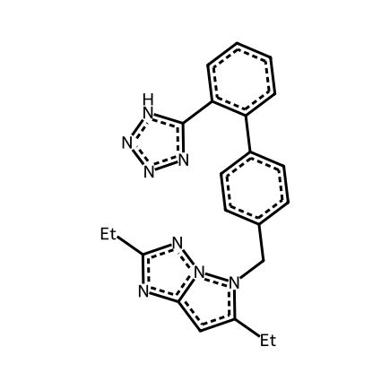 CCc1nc2cc(CC)n(Cc3ccc(-c4ccccc4-c4nnn[nH]4)cc3)n2n1